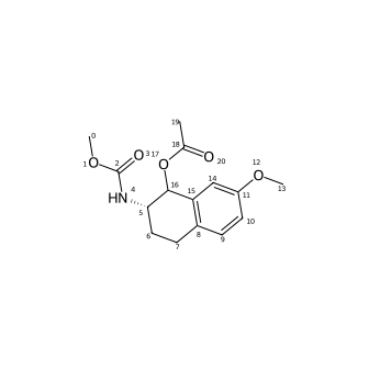 COC(=O)N[C@H]1CCc2ccc(OC)cc2C1OC(C)=O